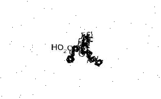 O=C(O)c1ccc(N(C(=O)C2CCN2Cc2cnc(C3CCCCC3)cn2)S(=O)(=O)c2c(F)c(F)c(Cl)c(F)c2F)cc1OCc1ccccc1